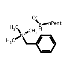 CCCCCB[O-].C[N+](C)(C)Cc1ccccc1